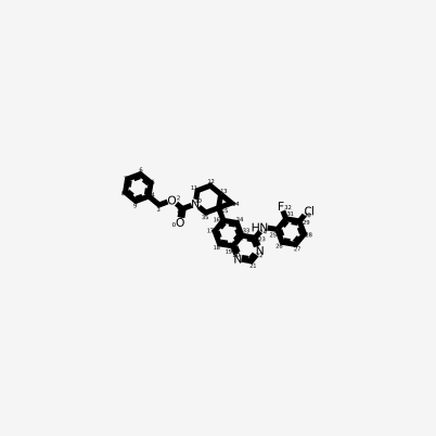 O=C(OCc1ccccc1)N1CCC2CC2(c2ccc3ncnc(Nc4cccc(Cl)c4F)c3c2)C1